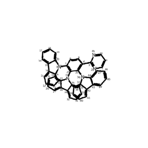 c1cnc(-c2ccc(-n3c4ccccc4c4ccccc43)c(-n3c4ccccc4c4ccccc43)c2-n2c3ccccc3c3ccccc32)nc1